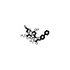 CC(C)C(C(O)N1CC(O)CC1C(=O)NC(Cc1ccc(-c2ccccc2)cc1)C(N)=O)n1cc(C#N)nn1